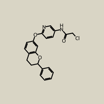 O=C(CCl)Nc1ccc(Oc2ccc3c(c2)OC(c2ccccc2)CC3)nc1